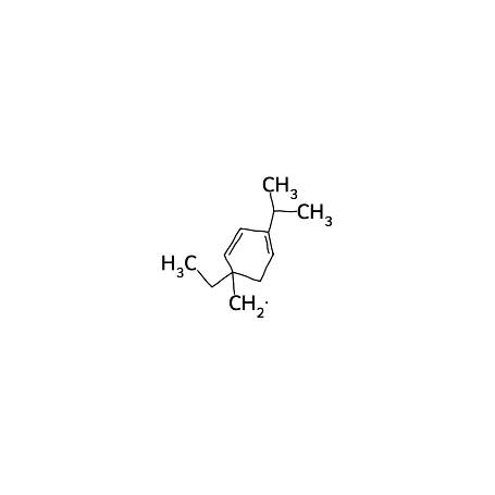 [CH2]C1(CC)C=CC(C(C)C)=CC1